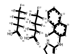 Brc1c(NC2=NCCN2)ccc2nccnc12.O=C(O)C(F)(F)C(F)(F)C(F)(F)F.O=C(O)C(F)(F)C(F)(F)C(F)(F)F